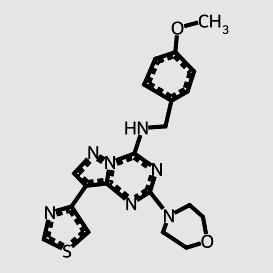 COc1ccc(CNc2nc(N3CCOCC3)nc3c(-c4cscn4)cnn23)cc1